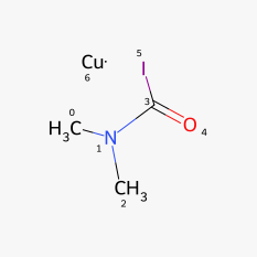 CN(C)C(=O)I.[Cu]